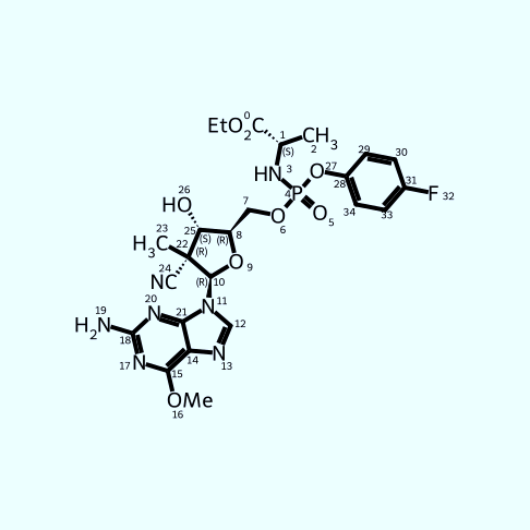 CCOC(=O)[C@H](C)NP(=O)(OC[C@H]1O[C@@H](n2cnc3c(OC)nc(N)nc32)[C@](C)(C#N)[C@@H]1O)Oc1ccc(F)cc1